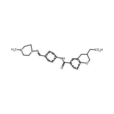 CN1CCN(N=Cc2ccc(NC(=O)c3ccc4c(c3)CC(CC(=O)O)CO4)cc2)CC1